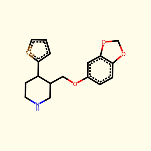 c1csc(C2CCNCC2COc2ccc3c(c2)OCO3)c1